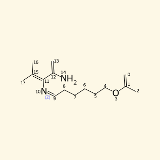 C=C(C)OCCCCC/C=N\C(C(=C)N)=C(C)C